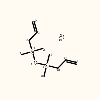 C=CC[Si](C)(C)O[Si](C)(C)CC=C.[Pt]